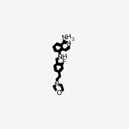 Nc1nccc2c(NCc3ccc(CCN4CCOCC4)cc3F)cccc12